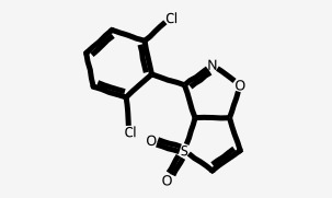 O=S1(=O)C=CC2ON=C(c3c(Cl)cccc3Cl)C21